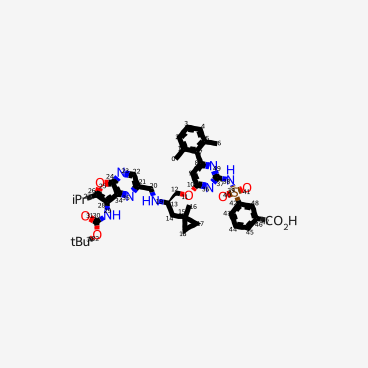 Cc1cccc(C)c1-c1cc(OC[C@@H](CC2(C)CC2)NCc2cnc3oc(C(C)C)c(NC(=O)OC(C)(C)C)c3n2)nc(NS(=O)(=O)c2cccc(C(=O)O)c2)n1